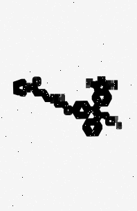 O=C(C=CCNCCOc1ccc(/C(=C(/CC(F)(F)F)c2ccccc2)c2ccc3[nH]nc(F)c3c2)cc1)N1CCCC1